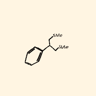 CSCC(CSC)c1ccccc1